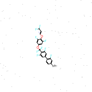 CCCc1ccc(-c2cc(F)c(C(F)(F)Oc3cc(F)c(O/C=C/C(F)F)c(F)c3)c(F)c2)c(F)c1